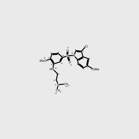 COc1ccc2c(c1)c(Cl)cn2S(=O)(=O)c1ccc(OC)c(NCCN(C)C)c1